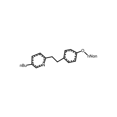 CCCCCCCCCOc1ccc(CCc2ccc(CCCC)cn2)cc1